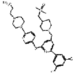 CP(C)(=O)CC1CCN(Cc2cc(Oc3ccc(N4CCN(CCC(=O)O)CC4)nc3)nc(-c3cc(Cl)cc(Cl)c3)c2)CC1